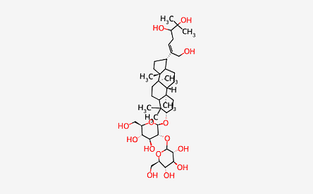 CC(C)(O)C(O)C/C=C(\CO)[C@H]1CC[C@]2(C)C1CC[C@@H]1[C@@]3(C)CC[C@H](O[C@@H]4O[C@H](CO)[C@@H](O)[C@H](O)[C@H]4OC4O[C@H](CO)[C@@H](O)[C@H](O)[C@H]4O)C(C)(C)C3CC[C@]12C